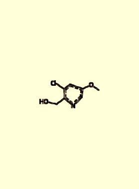 COc1cnc(CO)c(Cl)c1